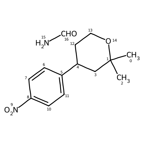 CC1(C)CC(c2ccc([N+](=O)[O-])cc2)CCO1.NC=O